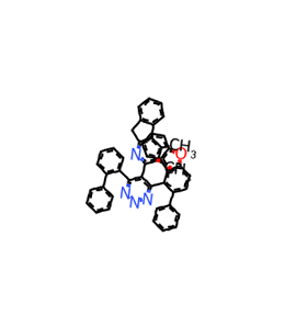 Cc1c(-c2c(-c3ccccc3-c3ccccc3)nnnc2-c2c(-c3ccccc3)ccc3oc4ccccc4c23)nc2c(c1C)-c1ccccc1C2